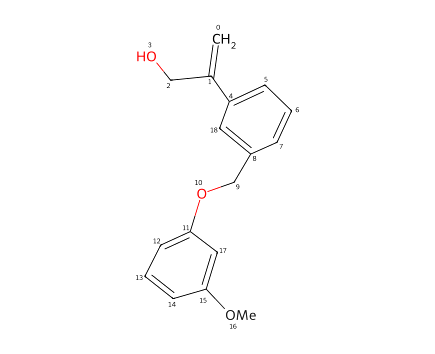 C=C(CO)c1cccc(COc2cccc(OC)c2)c1